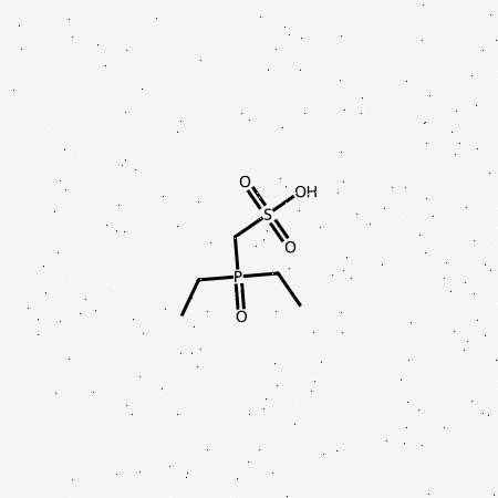 CCP(=O)(CC)CS(=O)(=O)O